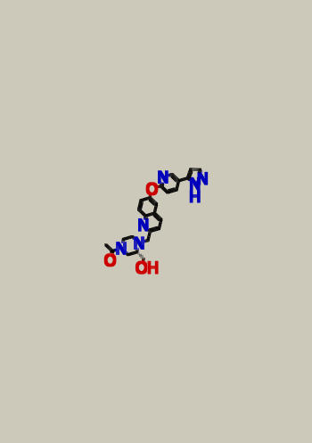 CC(=O)N1CCN(Cc2ccc3cc(Oc4ccc(-c5ccn[nH]5)cn4)ccc3n2)[C@H](CO)C1